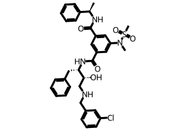 C[C@@H](NC(=O)c1cc(C(=O)N[C@@H](Cc2ccccc2)[C@H](O)CNCc2cccc(Cl)c2)cc(N(C)S(C)(=O)=O)c1)c1ccccc1